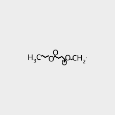 [CH2]COC(=O)CCC(=O)OCCCC